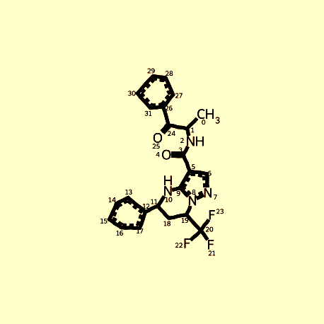 CC(NC(=O)c1cnn2c1NC(c1ccccc1)CC2C(F)(F)F)C(=O)c1ccccc1